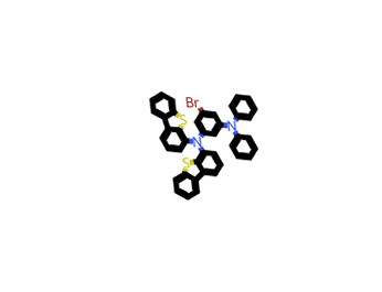 Brc1cc(N(c2ccccc2)c2ccccc2)cc(N(c2cccc3c2sc2ccccc23)c2cccc3c2sc2ccccc23)c1